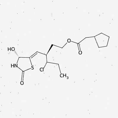 CCC(Cl)[C@@H](/C=C1\SC(=O)N[C@@H]1O)CCOC(=O)CC1CCCC1